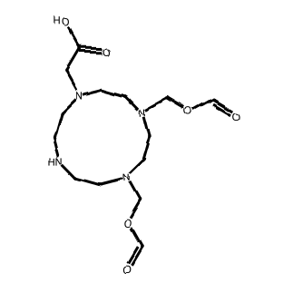 O=COCN1CCNCCN(CC(=O)O)CCN(COC=O)CC1